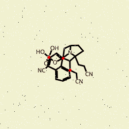 N#CCCC1C(OP(=O)(O)O)CC2CCC1(CCC#N)N2c1ccc(C#N)c2ccccc12